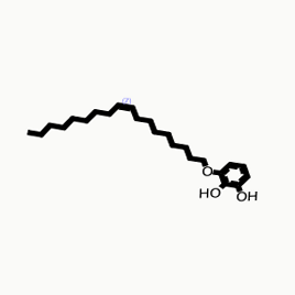 CCCCCCCC/C=C\CCCCCCCCOc1cccc(O)c1O